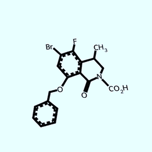 CC1CN(C(=O)O)C(=O)c2c(OCc3ccccc3)cc(Br)c(F)c21